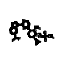 C[C@@H]1[C@H](CNS(C)(=O)=O)N(C2CC2)CCN1c1ccnc(-c2cnc3ccc(C(F)F)cn23)n1